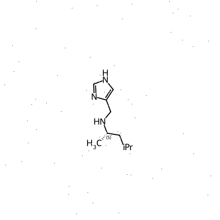 CC(C)C[C@H](C)NCc1c[nH]cn1